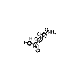 C[C@@H]1CN(c2ncc(C(N)=O)cc2Cl)CCN1c1cc(-c2ccc(F)cc2)nc(N2CCCC2)n1